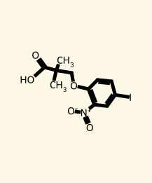 CC(C)(COc1ccc(I)cc1[N+](=O)[O-])C(=O)O